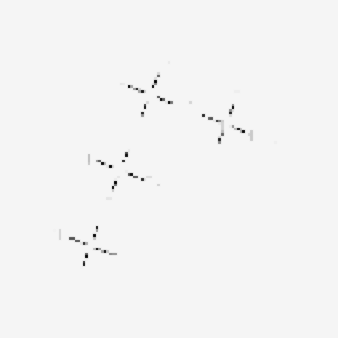 F[B-](F)(F)F.F[B-](F)(F)F.F[B-](F)(F)F.F[B-](F)(F)F.[Pb]